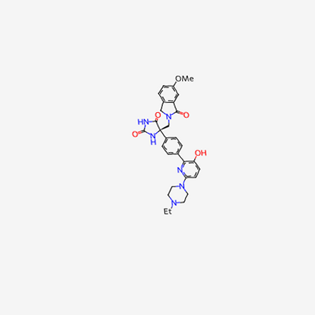 CCN1CCN(c2ccc(O)c(-c3ccc([C@]4(CN5Cc6ccc(OC)cc6C5=O)NC(=O)NC4=O)cc3)n2)CC1